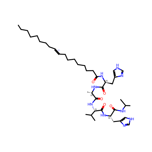 CCCCCCCC/C=C/CCCCCCCC(=O)N[C@@H](Cc1c[nH]cn1)C(=O)N[C@@H](C)C(=O)N[C@H](C(=O)N[C@@H](Cc1c[nH]cn1)C(=O)NC(C)C)C(C)C